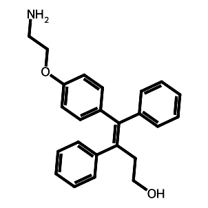 NCCOc1ccc(/C(=C(/CCO)c2ccccc2)c2ccccc2)cc1